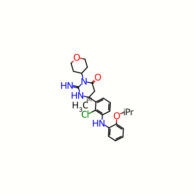 CC(C)Oc1ccccc1Nc1cccc([C@]2(C)CC(=O)N(C3CCOCC3)C(=N)N2)c1Cl